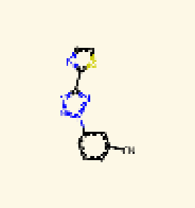 N#Cc1cccc(-n2nnc(-c3nccs3)n2)c1